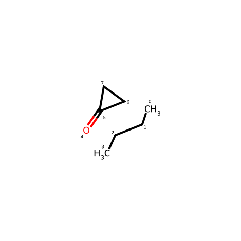 CCCC.O=C1CC1